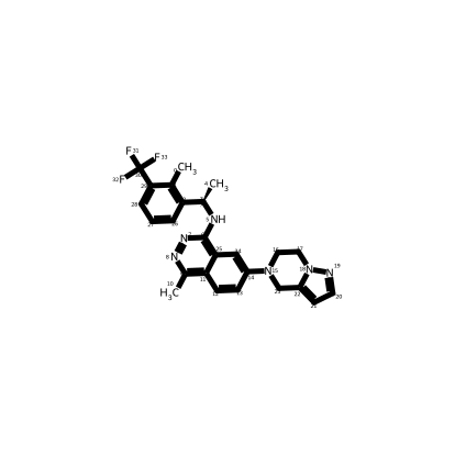 Cc1c([C@@H](C)Nc2nnc(C)c3ccc(N4CCn5nccc5C4)cc23)cccc1C(F)(F)F